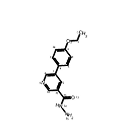 CCOc1ccc(-c2cncc(C(=O)NN)c2)cc1